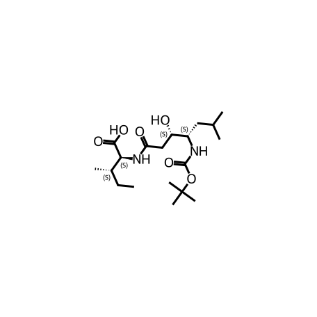 CC[C@H](C)[C@H](NC(=O)C[C@H](O)[C@H](CC(C)C)NC(=O)OC(C)(C)C)C(=O)O